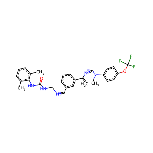 C=C(/N=C\N(C)c1ccc(OC(F)(F)F)cc1)c1cccc(/C=N\CNC(=O)Nc2c(C)cccc2C)c1